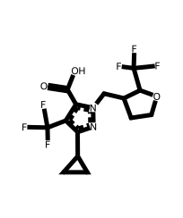 O=C(O)c1c(C(F)(F)F)c(C2CC2)nn1CC1CCOC1C(F)(F)F